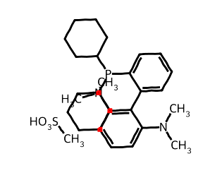 CN(C)c1cccc(N(C)C)c1-c1ccccc1P(C1CCCCC1)C1CCCCC1.CS(=O)(=O)O